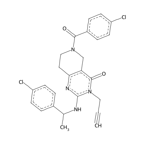 C#CCn1c(NC(C)c2ccc(Cl)cc2)nc2c(c1=O)CN(C(=O)c1ccc(Cl)cc1)CC2